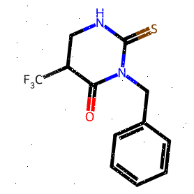 O=C1C(C(F)(F)F)CNC(=S)N1Cc1ccccc1